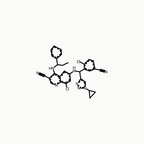 CCC(Nc1c(C#N)cnc2c(Cl)cc(NC(c3cn(C4CC4)nn3)c3cc(C#N)ccc3Cl)cc12)c1ccccc1